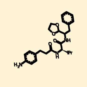 CC(C)[C@H](NC(=O)CCc1ccc(N)cc1)C(=O)NC(Cc1ccccc1)C1OCCO1